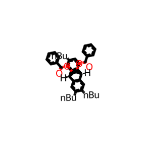 CCCCc1ccc2c(c1)[C@H]1c3cc(CCCC)c(CCCC)cc3[C@H]2C(OC(=O)c2ccccc2)C1OC(=O)c1ccccc1